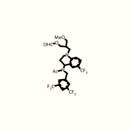 COCC(COC=O)CN1CCC(N(Cc2cc(C(F)(F)F)cc(C(F)(F)F)c2)C(C)=O)c2cc(C(F)(F)F)ccc21